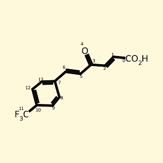 O=C(O)C=CC(=O)C=Cc1ccc(C(F)(F)F)cc1